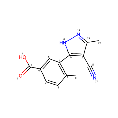 Cc1ccc(C(=O)O)cc1-c1[nH]nc(C)c1C#N